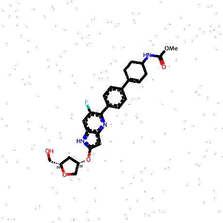 COC(=O)NC1CC=C(c2ccc(-c3nc4cc(O[C@@H]5CO[C@H](CO)C5)[nH]c4cc3F)cc2)CC1